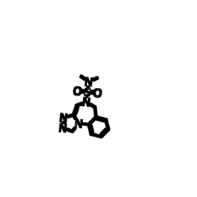 CN(C)S(=O)(=O)N1C=C2N=NCN2c2ccccc2C1